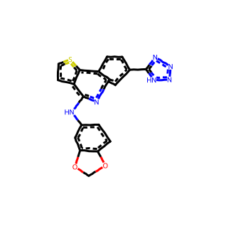 c1cc2c(Nc3ccc4c(c3)OCO4)nc3cc(-c4nnn[nH]4)ccc3c2s1